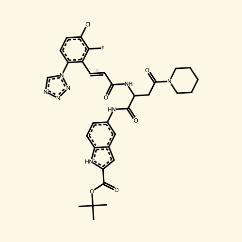 CC(C)(C)OC(=O)c1cc2cc(NC(=O)C(CC(=O)N3CCCCC3)NC(=O)/C=C/c3c(-n4cnnn4)ccc(Cl)c3F)ccc2[nH]1